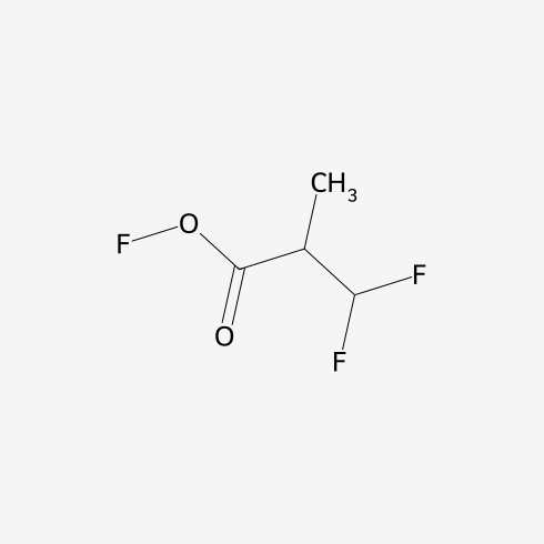 CC(C(=O)OF)C(F)F